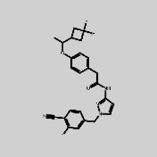 CC(Oc1ccc(CC(=O)Nc2ccn(Cc3ccc(C#N)c(F)c3)n2)cc1)C1CC(F)(F)C1